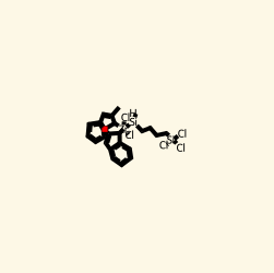 CC1=Cc2ccccc2[CH]1[Zr]([Cl])([Cl])([CH]1C(C)=Cc2ccccc21)[SiH](C)CCCC[Si](Cl)(Cl)Cl